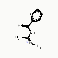 C/N=C(/C)NC(=N)c1ccco1